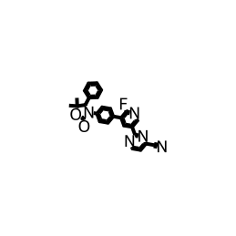 CC1(C)OC(=O)N(c2ccc(-c3cc(-c4nccc(C#N)n4)cnc3F)cc2)C1c1ccccc1